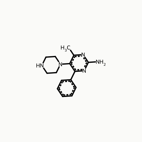 Cc1nc(N)nc(-c2ccccc2)c1N1CCNCC1